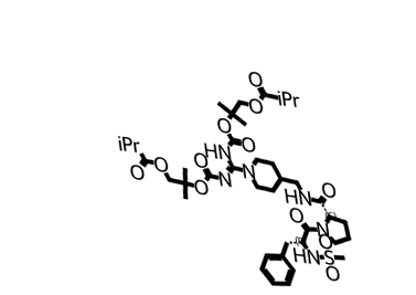 CC(C)C(=O)OCC(C)(C)OC(=O)N=C(NC(=O)OC(C)(C)COC(=O)C(C)C)N1CCC(CNC(=O)[C@@H]2CCCN2C(=O)[C@@H](Cc2ccccc2)NS(C)(=O)=O)CC1